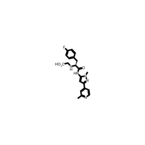 Cc1cc(-c2cc(NC(=O)[C@H](Cc3ccc(F)cc3)NCC(=O)O)n(C)n2)ccn1